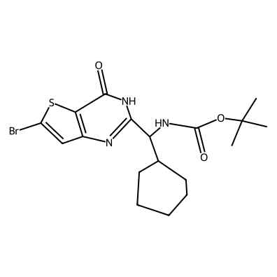 CC(C)(C)OC(=O)NC(c1nc2cc(Br)sc2c(=O)[nH]1)C1CCCCC1